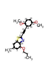 CCCOc1cc(C)cc2sc(C#Cc3cc(OC)ccc3OC)nc12